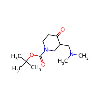 CN(C)CC1CN(C(=O)OC(C)(C)C)CCC1=O